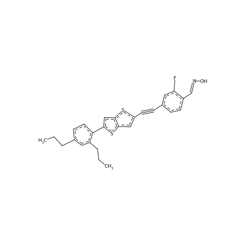 CCCc1ccc(-c2cc3sc(C#Cc4ccc(/C=N/O)c(F)c4)cc3s2)c(CCC)c1